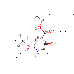 CCOC(=O)CC(=O)C(C)N(C)C(=O)OC(C)(C)C